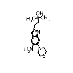 CC(C)(O)CCn1cc2cc(N)c(N3CCSCC3)cc2n1